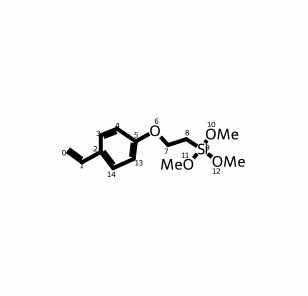 C=Cc1ccc(OCC[Si](OC)(OC)OC)cc1